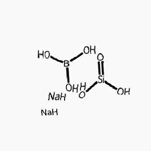 O=[Si](O)O.OB(O)O.[NaH].[NaH]